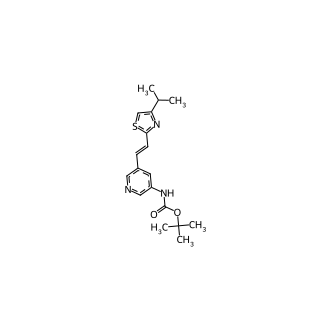 CC(C)c1csc(C=Cc2cncc(NC(=O)OC(C)(C)C)c2)n1